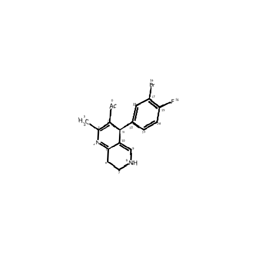 CC(=O)C1=C(C)N=C2CCNC=C2C1c1ccc(F)c(Br)c1